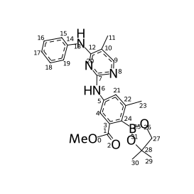 COC(=O)c1cc(Nc2ncc(C)c(Nc3ccccc3)n2)cc(C)c1B1OCC(C)(C)O1